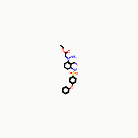 CCOC(=O)CN(N)C1=C(CI)C(NS(=O)(=O)c2ccc(Oc3ccccc3)cc2)CCC1